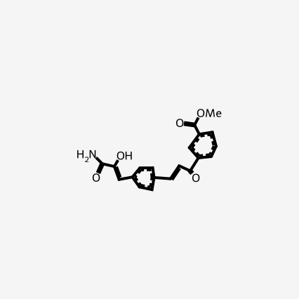 COC(=O)c1cccc(C(=O)C=Cc2ccc(C=C(O)C(N)=O)cc2)c1